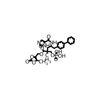 Cc1oc(=O)oc1COC(=O)C(C)(COP(=O)(O)O)CC(Cc1ccc(-c2ccccc2)cc1)NC(=O)c1cnn[nH]1